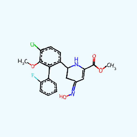 COC(=O)C1=CC(=NO)CC(c2ccc(Cl)c(OC)c2-c2ccccc2F)N1